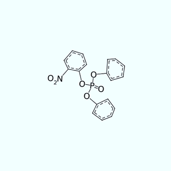 O=[N+]([O-])c1ccccc1OP(=O)(Oc1ccccc1)Oc1ccccc1